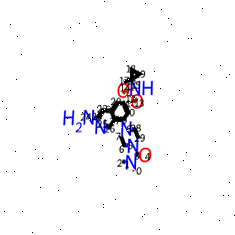 CN(C)C(=O)N1CCN(c2cc(S(=O)(=O)NC3(C)CC3)cc3cc(N)ncc23)CC1